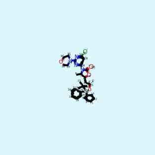 CC1C(C[C@H](C)O[Si](c2ccccc2)(c2ccccc2)C(C)(C)C)OC(=O)N1c1cc(Cl)nc(N2CCOCC2)n1